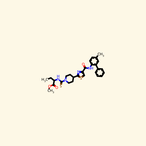 CCC(NC(=S)N1CCC(c2nc(C(=O)Nc3ccc(C)cc3-c3ccccc3)cs2)CC1)C(=O)OC